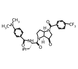 CC(C)C[C@H](NC(=O)c1ccc(N(C)C)cc1)C(=O)N1CC[C@@H]2[C@H]1C(=O)CN2C(=O)c1ccc(C(F)(F)F)cc1